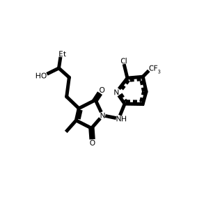 CCC(O)CCC1=C(C)C(=O)N(Nc2ccc(C(F)(F)F)c(Cl)n2)C1=O